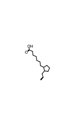 C=CCC1CCCC1CCCCCCC(=O)O